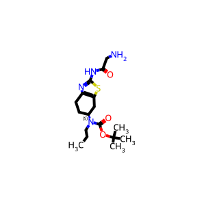 CCCN(C(=O)OC(C)(C)C)[C@H]1CCc2nc(NC(=O)CN)sc2C1